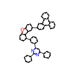 c1ccc(-c2cc(-c3cccc(-c4cccc5oc6ccc(-c7ccc8c9ccccc9c9ccccc9c8c7)cc6c45)c3)nc(-c3ccccc3)n2)cc1